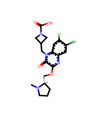 CN1CCC[C@H]1COc1nc2cc(Br)c(Cl)cc2n(CC2CN(C(=O)O)C2)c1=O